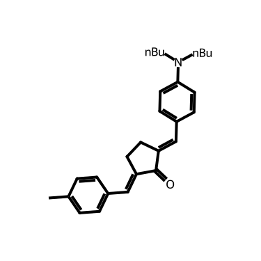 CCCCN(CCCC)c1ccc(/C=C2\CC/C(=C\c3ccc(C)cc3)C2=O)cc1